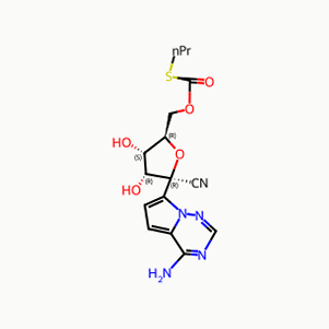 CCCSC(=O)OC[C@H]1O[C@@](C#N)(c2ccc3c(N)ncnn23)[C@H](O)[C@@H]1O